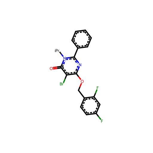 CC(C)n1c(-c2ccccc2)nc(OCc2ccc(F)cc2F)c(Br)c1=O